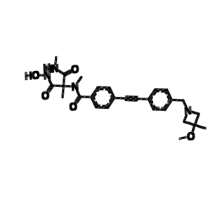 CNC(=O)C(C)(C(=O)NO)N(C)C(=O)c1ccc(C#Cc2ccc(CN3CC(C)(OC)C3)cc2)cc1